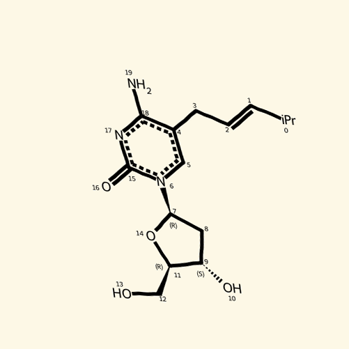 CC(C)C=CCc1cn([C@H]2C[C@H](O)[C@@H](CO)O2)c(=O)nc1N